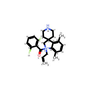 C=CC[N+]1(C(=O)c2c(F)cccc2F)CC2(CCNCC2)c2c(C)ccc(C)c21